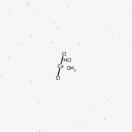 Cl.O.[Cl][Cu][Cl]